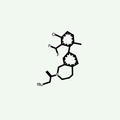 C=C(CC(C)(C)C)N1CCCc2ccc(-c3c(C)ccc(Cl)c3C(F)F)cc2C1